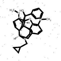 COc1ccc2c3c1O[C@H]1[C@@]4(OC)C=C[C@@]5(C[C@@H]4C(O)c4ccccc4)[C@@H](C2)N(CC2CC2)CC[C@]315